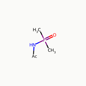 CC(=O)NP(C)(C)=O